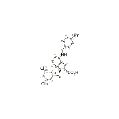 CC(C)c1ccc(CNc2cccc3c2cc(C(=O)O)n3Cc2cc(Cl)cc(Cl)c2)cc1